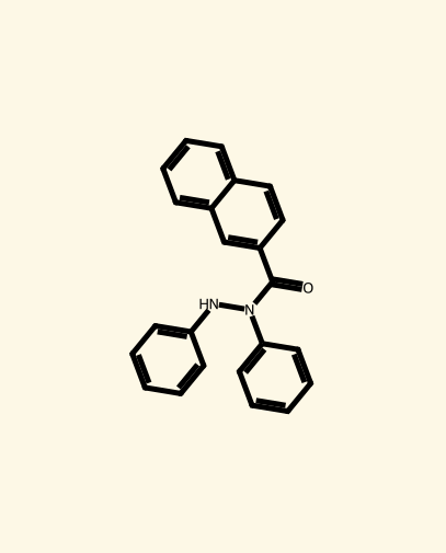 O=C(c1ccc2ccccc2c1)N(Nc1ccccc1)c1ccccc1